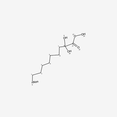 CCCCCCCCCCCCCCCCC(O)(O)C(=O)OO